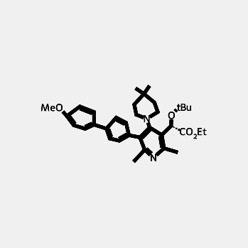 CCOC(=O)[C@@H](OC(C)(C)C)c1c(C)nc(C)c(-c2ccc(-c3ccc(OC)cc3)cc2)c1N1CCC(C)(C)CC1